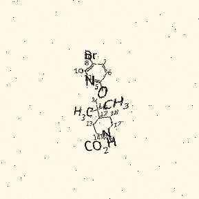 CC(C)(COc1ccc(Br)cn1)C1CCN(C(=O)O)CC1